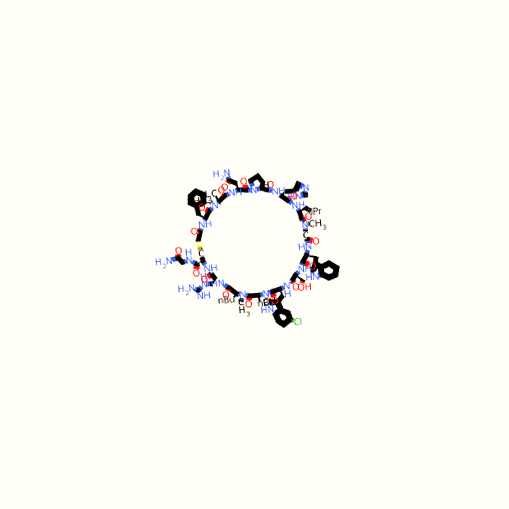 CCCC[C@H]1C(=O)N(C)[C@@H](CCCC)C(=O)N[C@@H](CNC(=N)N)C(=O)N[C@H](C(=O)NCC(N)=O)CSCC(=O)N[C@@H](Cc2ccccc2)C(=O)N(C)[C@@H](C)C(=O)N[C@@H](CC(N)=O)C(=O)N2CCC[C@H]2C(=O)N[C@@H](Cc2cnc[nH]2)C(=O)N[C@@H](CC(C)C)C(=O)N(C)CC(=O)N[C@@H](Cc2c[nH]c3ccccc23)C(=O)N[C@@H](CO)C(=O)N[C@@H](Cc2c[nH]c3ccc(Cl)cc23)C(=O)N1C